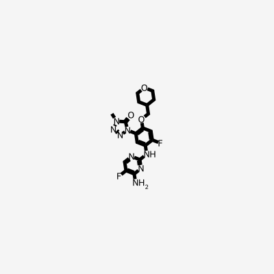 Cn1nnn(-c2cc(Nc3ncc(F)c(N)n3)c(F)cc2OCC2CCOCC2)c1=O